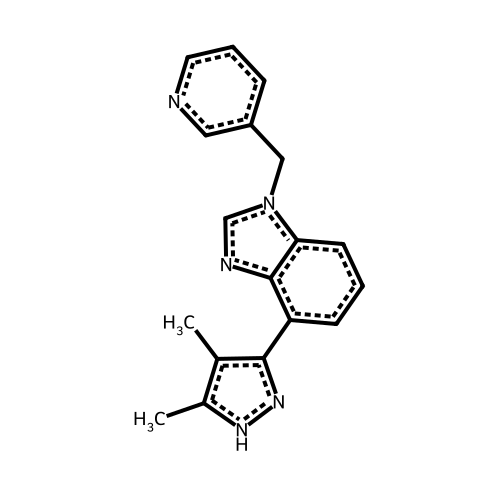 Cc1[nH]nc(-c2cccc3c2ncn3Cc2cccnc2)c1C